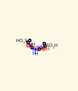 O=C(Nc1ccc(C(=O)Nc2c(O)cc(S(=O)(=O)O)c3ccccc23)cc1)Nc1ccc(C(=O)Nc2c(O)cc(S(=O)(=O)O)c3ccccc23)cc1